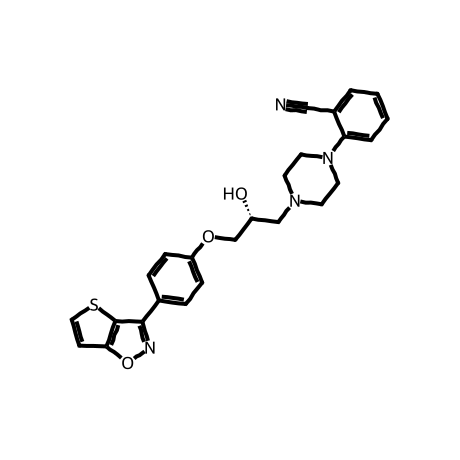 N#Cc1ccccc1N1CCN(C[C@@H](O)COc2ccc(-c3noc4ccsc34)cc2)CC1